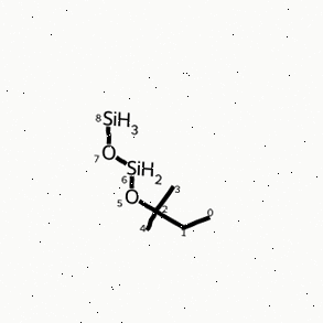 CCC(C)(C)O[SiH2]O[SiH3]